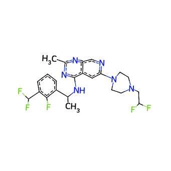 Cc1nc(NC(C)c2cccc(C(F)F)c2F)c2cc(N3CCN(CC(F)F)CC3)ncc2n1